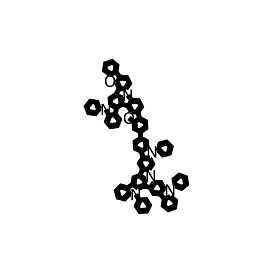 c1ccc(-n2c3cc(-c4ccc5c(c4)oc4c5ccc5c4c4c6c7ccccc7n(-c7ccccc7)c6cc6c7c8oc9ccccc9c8ccc7n5c64)ccc3c3cc4c5cc6c7ccccc7n(-c7ccccc7)c6c6c7cc8c9ccccc9n(-c9ccccc9)c8cc7n(c4cc32)c56)cc1